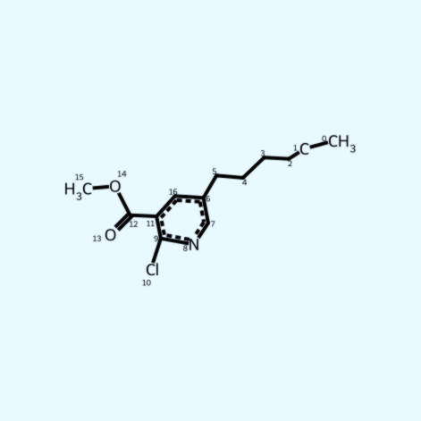 CCCCCCc1cnc(Cl)c(C(=O)OC)c1